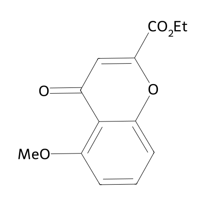 CCOC(=O)c1cc(=O)c2c(OC)cccc2o1